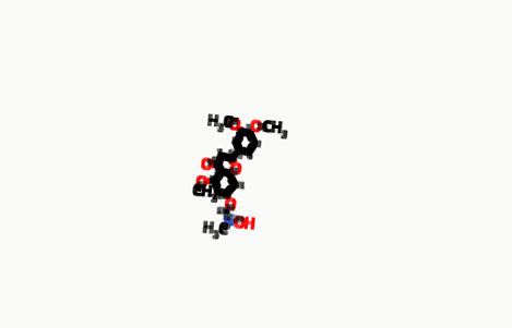 COc1ccc(-c2cc(=O)c3c(OC)cc(OCN(C)O)cc3o2)cc1OC